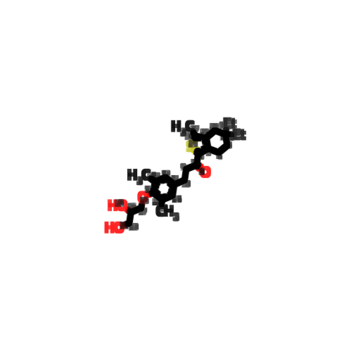 CCC1(CC)CCc2c(C(=O)CCc3cc(C)c(OCC(O)CO)c(C)c3)sc(C)c2C1